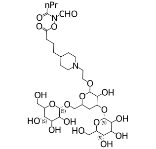 CCCC(=O)N(C=O)OC(=O)CCCC1CCN(CCOC2OC(CO[C@H]3OC(CO)[C@@H](O)C(O)C3O)CC(O[C@H]3OC(CO)[C@@H](O)C(O)C3O)C2O)CC1